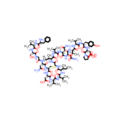 CC[C@H](C)[C@H](NC(=O)CNC(=O)[C@@H](NC(=O)[C@@H](NC(=O)[C@@H](NC(=O)[C@H](CC(=O)O)NC(=O)[C@H](CS)NC(=O)[C@H](CC(N)=O)NC(=O)CNC(=O)[C@H](CO)NC(=O)[C@@H](NC(=O)[C@@H](N)Cc1ccccc1)C(C)C)C(C)C)C(C)C)[C@@H](C)CC)C(=O)N[C@H](C(=O)N[C@@H](CC(N)=O)C(=O)N[C@@H](CC(N)=O)C(=O)N[C@H](C(=O)N[C@H](C(=O)N[C@@H](Cc1ccc(O)cc1)C(=O)N[C@@H](CC(=O)O)C(=O)N1CCC[C@H]1C(=O)O)C(C)C)[C@@H](C)O)C(C)C